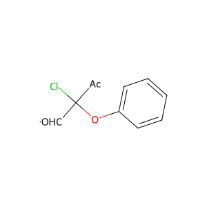 CC(=O)C(Cl)([C]=O)Oc1ccccc1